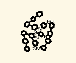 CC(C)(C)c1ccc(N2c3ccc(-c4ccccc4-c4ccc(-c5ccccc5)cc4)cc3B3c4c2cc(-n2c5cc(-c6ccccc6)ccc5c5ccc(-c6ccccc6)cc52)cc4-n2c4ccc(C(C)(C)C)cc4c4cc(-c5ccccc5-c5ccc(-c6ccccc6)cc5)cc3c42)cc1